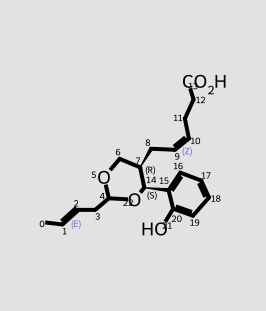 C/C=C/CC1OC[C@@H](C/C=C\CCC(=O)O)[C@@H](c2ccccc2O)O1